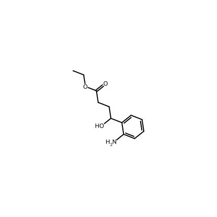 CCOC(=O)CCC(O)c1ccccc1N